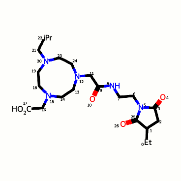 CCC1CC(=O)N(CCNC(=O)CN2CCN(CC(=O)O)CCN(CC(C)C)CC2)C1=O